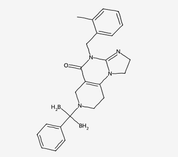 BC(B)(c1ccccc1)N1CCC2=C(C1)C(=O)N(Cc1ccccc1C)C1=NCCN12